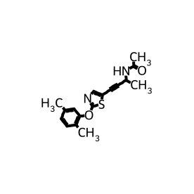 CC(=O)NC(C)C#Cc1cnc(Oc2cc(C)ccc2C)s1